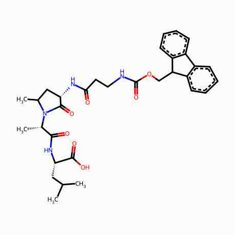 CC(C)C[C@H](NC(=O)[C@H](C)N1C(=O)[C@@H](NC(=O)CCNC(=O)OCC2c3ccccc3-c3ccccc32)CC1C)C(=O)O